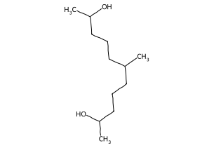 CC(O)CCCC(C)CCCC(C)O